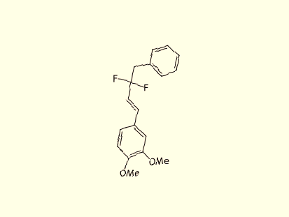 COc1ccc(/C=C/C(F)(F)Cc2ccccc2)cc1OC